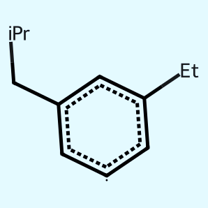 CCc1c[c]cc(CC(C)C)c1